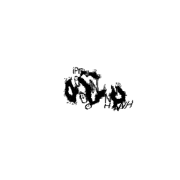 CC(C)N1CCn2c(CNc3nccc4[nH]ncc34)cc(=O)c(OCc3ccccc3)c2C1=O